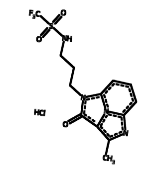 Cc1nc2cccc3n(CCCNS(=O)(=O)C(F)(F)F)c(=O)c1n23.Cl